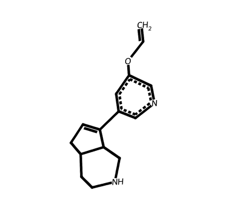 C=COc1cncc(C2=CCC3CCNCC23)c1